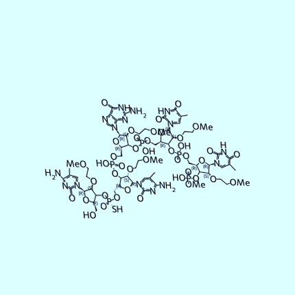 COCCO[C@H]1C(OP(=O)(O)OC[C@H]2O[C@@H](n3cnc4c(=O)[nH]c(N)nc43)[C@@H](OCCOC)C2OP(=O)(O)OC[C@H]2O[C@@H](n3cc(C)c(=O)[nH]c3=O)[C@@H](OCCOC)C2OP(=O)(O)OC[C@H]2O[C@@H](n3cc(C)c(=O)[nH]c3=O)[C@@H](OCCOC)C2OP(=O)(O)OC)[C@@H](COP(=O)(S)OC2[C@@H](CO)O[C@@H](n3cc(C)c(N)nc3=O)[C@H]2OCCOC)O[C@H]1n1cc(C)c(N)nc1=O